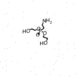 NCCP(=O)(OCCO)OCCO